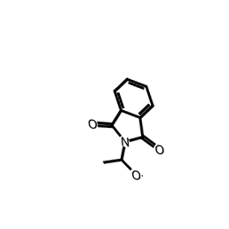 CC([O])N1C(=O)c2ccccc2C1=O